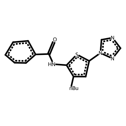 CCCCc1cc(-n2cncn2)sc1NC(=O)c1ccccc1